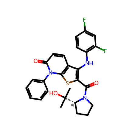 CC(C)(O)[C@H]1CCCN1C(=O)c1sc2c(ccc(=O)n2-c2ccccc2)c1Nc1ccc(F)cc1F